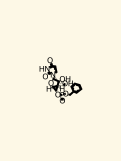 O=c1ccn([C@@H]2O[C@@H]3C(O[PH](=O)OCc4ccccc4)[C@]3(CO)[C@H]2O)c(=O)[nH]1